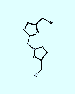 OCC1COB(OB2OCC(CO)O2)O1